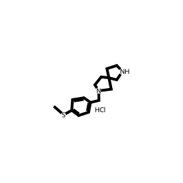 CSc1ccc(CN2CCC3(CCNC3)C2)cc1.Cl